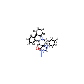 Cc1ccc(N2CNC(=O)C23CCN(C2CCCCC2c2ccccc2)CC3)cc1